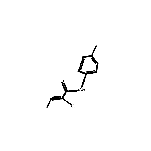 C/C=C(\Cl)C(=O)Nc1ccc(C)cc1